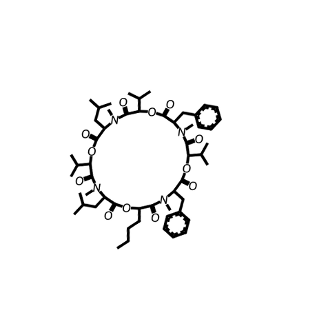 CCCCC1OC(=O)C(CC(C)C)N(C)C(=O)C(C(C)C)OC(=O)C(CC(C)C)N(C)C(=O)C(C(C)C)OC(=O)C(Cc2ccccc2)N(C)C(=O)C(C(C)C)OC(=O)C(Cc2ccccc2)N(C)C1=O